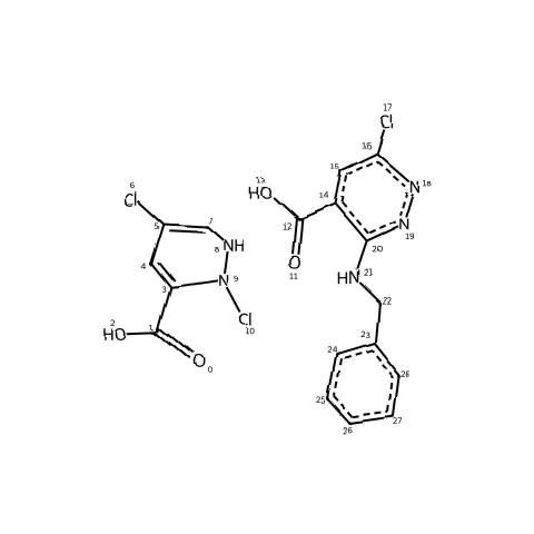 O=C(O)C1=CC(Cl)=CNN1Cl.O=C(O)c1cc(Cl)nnc1NCc1ccccc1